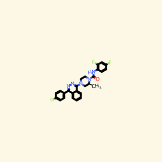 C[C@H]1CN(c2nnc(-c3ccc(F)cc3)c3ccccc23)CCN1C(=O)Nc1ccc(F)cc1F